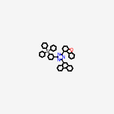 c1ccc([Si](c2ccccc2)(c2ccccc2)c2cccc(-c3nc(-c4cc5ccccc5c5ccccc45)nc(-c4cccc5oc6ccccc6c45)n3)c2)cc1